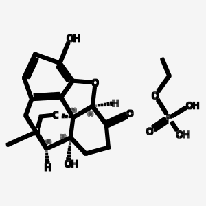 CCOP(=O)(O)O.CN1CC[C@]23c4c5ccc(O)c4O[C@H]2C(=O)CC[C@@]3(O)[C@H]1C5